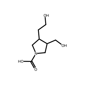 O=C(O)N1CC(CO)C(CCO)C1